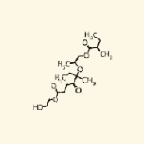 CCC(C)C(=O)OCC(C)OC(C)(CC)C(=O)CCC(=O)OCCO